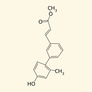 COC(=O)/C=C/c1cccc(-c2ccc(O)cc2C)c1